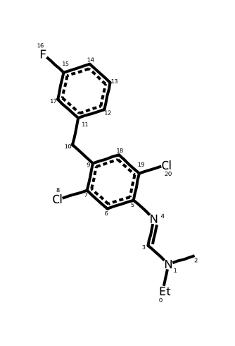 CCN(C)C=Nc1cc(Cl)c(Cc2cccc(F)c2)cc1Cl